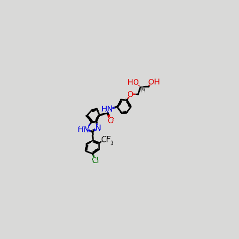 O=C(Nc1cccc(OC[C@H](O)CO)c1)c1cccc2[nH]c(-c3ccc(Cl)cc3C(F)(F)F)nc12